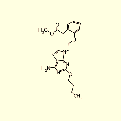 CCCCOc1nc(N)c2ncn(CCOc3ccccc3CC(=O)OC)c2n1